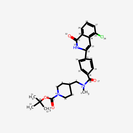 CN(CC1CCN(C(=O)OC(C)(C)C)CC1)C(=O)c1ccc(-c2cc3c(Cl)cccc3c(=O)[nH]2)cc1